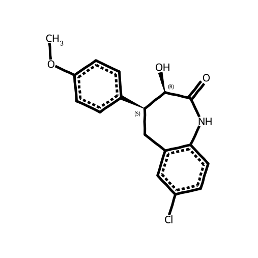 COc1ccc([C@@H]2Cc3cc(Cl)ccc3NC(=O)[C@@H]2O)cc1